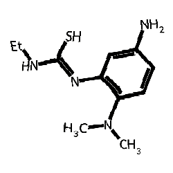 CCNC(S)=Nc1cc(N)ccc1N(C)C